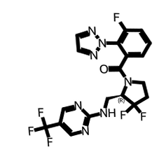 O=C(c1cccc(F)c1-n1nccn1)N1CCC(F)(F)[C@H]1CNc1ncc(C(F)(F)F)cn1